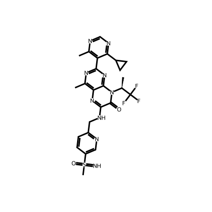 Cc1ncnc(C2CC2)c1-c1nc(C)c2nc(NCc3ccc(S(C)(=N)=O)cn3)c(=O)n([C@@H](C)C(F)(F)F)c2n1